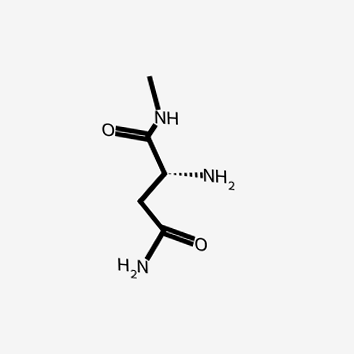 CNC(=O)[C@H](N)CC(N)=O